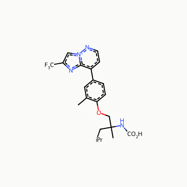 Cc1cc(-c2ccnn3cc(C(F)(F)F)nc23)ccc1OCC(C)(CC(C)C)NC(=O)O